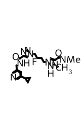 CNC(=O)C1=CN(CCC(F)Cn2cc(C(=O)NCc3cncc(C4CC4)c3)nn2)NN1C